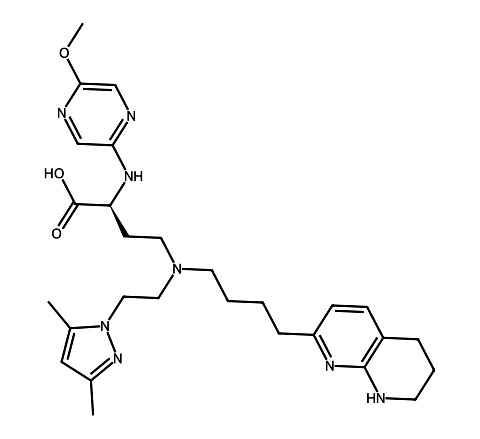 COc1cnc(N[C@@H](CCN(CCCCc2ccc3c(n2)NCCC3)CCn2nc(C)cc2C)C(=O)O)cn1